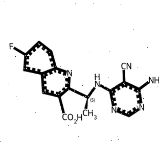 C[C@H](Nc1ncnc(N)c1C#N)c1nc2ccc(F)cc2cc1C(=O)O